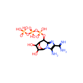 N=C(N)c1nc2n(c1N)C1OC(C2OP(=O)(O)OP(=O)(O)OP(=O)(O)O)C(O)C1O